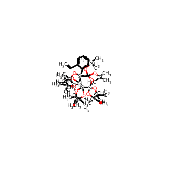 C=Cc1ccccc1[Si]1(O[Si](C)(C)C)C(O[Si](C)(C)C)(O[Si](C)(C)C)O[Si](O[Si](C)(C)C)(O[Si](C)(C)C)[Si](O[Si](C)(C)C)(O[Si](C)(C)C)[Si]1(O[Si](C)(C)C)O[Si](C)(C)C